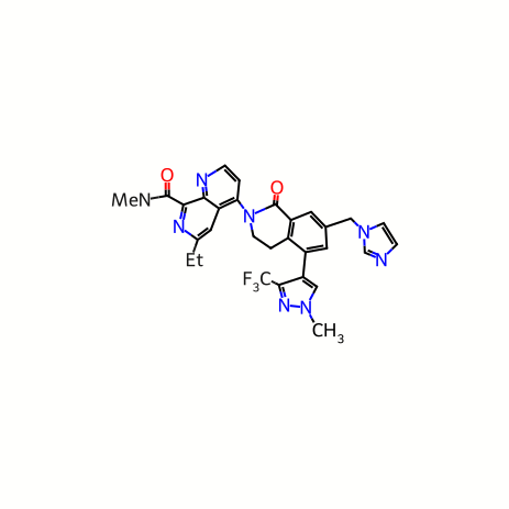 CCc1cc2c(N3CCc4c(cc(Cn5ccnc5)cc4-c4cn(C)nc4C(F)(F)F)C3=O)ccnc2c(C(=O)NC)n1